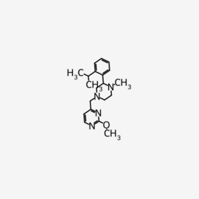 COc1nccc(CN2CCN(C)C(c3ccccc3C(C)C)C2)n1